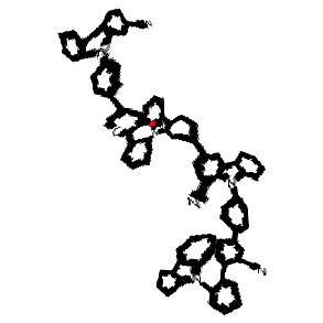 N#Cc1ccc2c3ccccc3n(-c3ccc(-c4ccc(-c5ccccc5-n5c6c(c7ccccc75)CCC(c5cc(C#N)c7c(c5)c5ccccc5n7-c5ccc(-c7ccc(-c8ccccc8-n8c9ccccc9c9ccccc98)c(C#N)c7)cc5)=C6)c(C#N)c4)cc3)c2c1